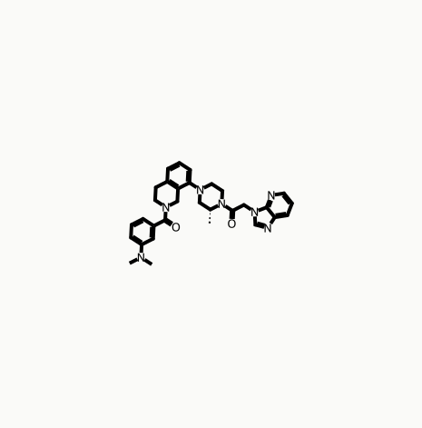 C[C@@H]1CN(c2cccc3c2CN(C(=O)c2cccc(N(C)C)c2)CC3)CCN1C(=O)Cn1cnc2cccnc21